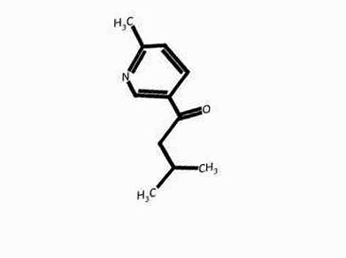 Cc1ccc(C(=O)CC(C)C)cn1